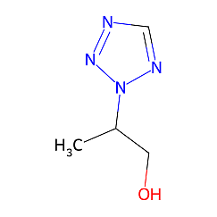 CC(CO)n1ncnn1